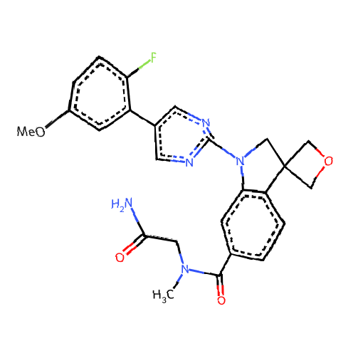 COc1ccc(F)c(-c2cnc(N3CC4(COC4)c4ccc(C(=O)N(C)CC(N)=O)cc43)nc2)c1